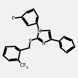 Fc1cccc(-n2cc(-c3ccccc3)nc2SCc2ccccc2C(F)(F)F)c1